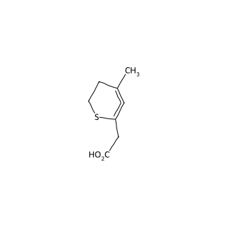 CC1=C=C(CC(=O)O)SCC1